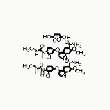 CCNC(=O)Nc1ccc(Oc2ccnc3cc(OC)c(C(N)=O)cc23)cc1Cl.CCNC(=O)Nc1ccc(Oc2ccnc3cc(OC)c(C(N)=O)cc23)cc1Cl.O=C(O)/C=C\C(=O)O